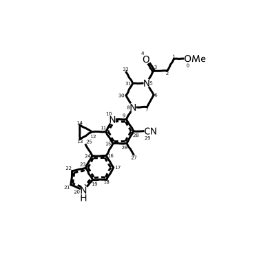 COCCC(=O)N1CCN(c2nc(C3CC3)c(-c3ccc4[nH]ccc4c3C)c(C)c2C#N)CC1C